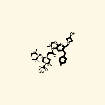 C[C@@H]1CN(CC(=O)N2c3cc(Cc4ccc(F)cc4)c(CN4CC(O)C4)nc3OC[C@@H]2C)[C@@H](CN2[C@H](C)COC[C@H]2C)CN1C(=O)OC(C)(C)C